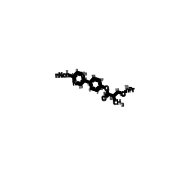 CCCCCCCCCc1cnc(-c2ccc(OC(=O)C(C)COCCC)cc2)cn1